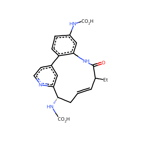 CCC1/C=C/C[C@H](NC(=O)O)c2cc(ccn2)-c2ccc(NC(=O)O)cc2NC1=O